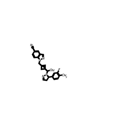 Cc1ccc(C2CC=NN2C(O)C23CC(Cn4ncc5cc(C#N)ccc54)(C2)C3)cc1F